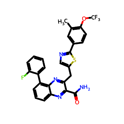 Cc1cc(-c2ncc(Cc3nc4c(-c5ccccc5F)cccc4nc3C(N)=O)s2)ccc1OC(F)(F)F